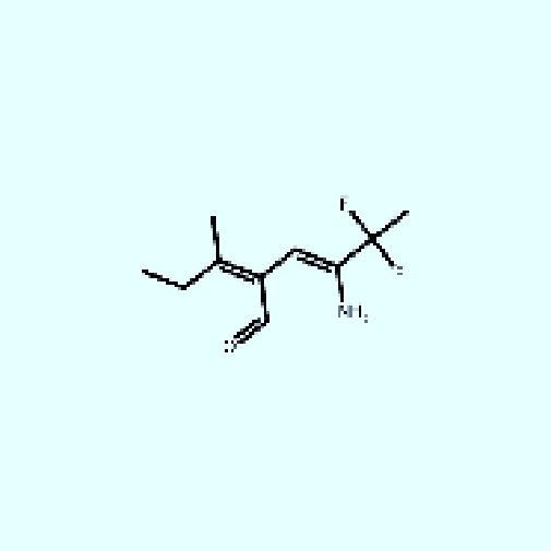 CC/C(C)=C(C=O)/C=C(\N)C(C)(F)F